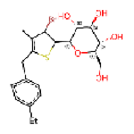 CCc1ccc(CC2=C(C)C(Br)C([C@@H]3O[C@H](CO)[C@@H](O)[C@H](O)[C@H]3O)S2)cc1